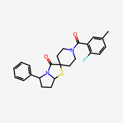 Cc1ccc(F)c(C(=O)N2CCC3(CC2)SC2CCC(c4ccccc4)N2C3=O)c1